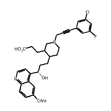 COc1ccc2nccc([C@@H](O)CCC3CCN(CC#Cc4cc(F)cc(Cl)c4)CC3CCC(=O)O)c2c1